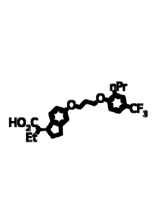 CCCc1cc(C(F)(F)F)ccc1OCCCOc1ccc2c(c1)CC[C@H]2C(CC)C(=O)O